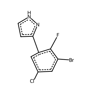 Fc1c(Br)cc(Cl)cc1-c1cc[nH]n1